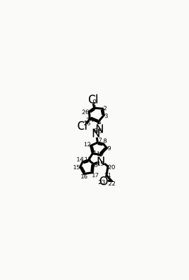 Clc1ccc(N=Nc2ccc3c(c2)c2ccccc2n3CC2CO2)c(Cl)c1